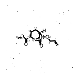 C=CCON1C(=O)N2C[C@@H]1CC[C@H]2C(=O)OC